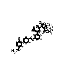 COc1ccc(F)c([C@H]2CC[C@H](COc3cccc(C(CC(=O)N4C(=O)OC(C)(C)C4C(C)C)C4CC4)c3)CC2)c1